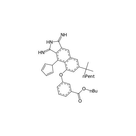 CCCCCC(C)(C)c1cc(Oc2cccc(C(=O)OCCCC)c2)c2c(C3C=CC=C3)c3c(cc2c1)C(=N)NC3=N